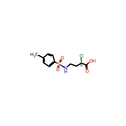 Cc1ccc(S(=O)(=O)NCC[C@@H](Cl)C(=O)O)cc1